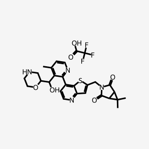 Cc1ccnc(-c2ccnc3cc(CN4C(=O)C5C(C4=O)C5(C)C)sc23)c1C(O)C1CNCCO1.O=C(O)C(F)(F)F